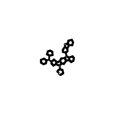 c1ccc(N(c2ccccc2)c2ccc3c(c2)c2cc4c(cc2n3-c2ccccc2)c2ccccc2n4-c2ccc3oc4ccccc4c3c2)cc1